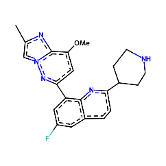 COc1cc(-c2cc(F)cc3ccc(C4CCNCC4)nc23)nn2cc(C)nc12